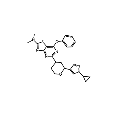 CN(C)c1nc2nc(C3CCOC(c4cnn(C5CC5)c4)C3)nc(Oc3ccccc3)c2s1